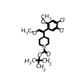 CO/C=C(/c1cc(Cl)c(Cl)cc1OC)C1CCN(C(=O)OC(C)(C)C)CC1